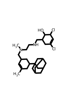 CC1=CC(CN(C)CCNCC2CC(Cl)=CC(Cl)C2O)CC(C23CC4CC(CC(C4)C2)C3)C1